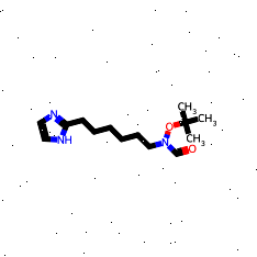 CC(C)(C)ON(C=O)CCCCCCc1ncc[nH]1